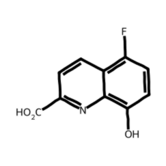 O=C(O)c1ccc2c(F)ccc(O)c2n1